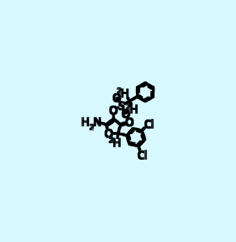 [2H]C1(c2cc(Cl)cc(Cl)c2)OC(N)=C(OS(=O)(=O)C([2H])([2H])c2ccccc2)C1=O